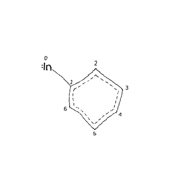 [In][c]1ccccc1